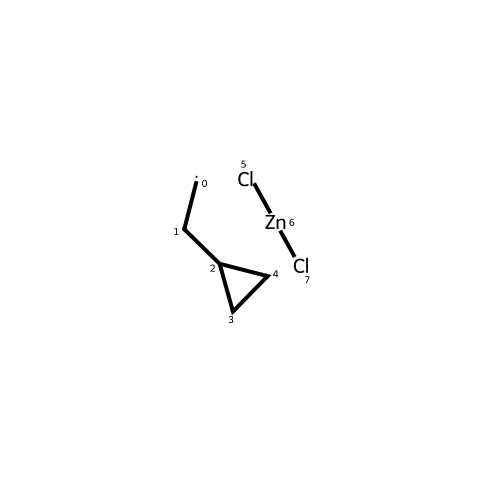 [CH2]CC1CC1.[Cl][Zn][Cl]